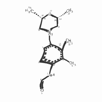 Cc1c(NC=O)ccc(N2C[C@@H](C)O[C@@H](C)C2)c1C